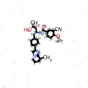 Cc1cccn2cc(-c3ccc(C[C@@H](C[C@@H](C)O)NC(=O)c4ccc(OC(C)C)c(C#N)c4)cc3)nc12